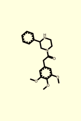 COc1cc(CC(=O)N2CCNC(c3ccccc3)C2)cc(OC)c1OC